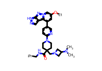 CCOc1cc(-c2ccc(N3CCC(CN4CC(N(C)C)C4)(C(=O)NCC(C)C)CC3)nc2)c2c3cn[nH]c3nn2c1